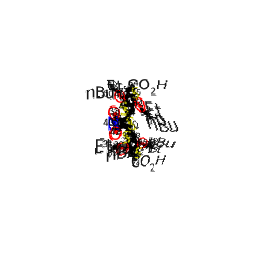 CCCCC(CC)COc1c2cc(-c3sc(-c4cc5c(OCC(CC)CCCC)c6sc(C(=O)O)cc6c(OCC(CC)CCCC)c5s4)c4c3C(=O)N(C)C4=O)sc2c(OCC(CC)CCCC)c2cc(C(=O)O)sc12